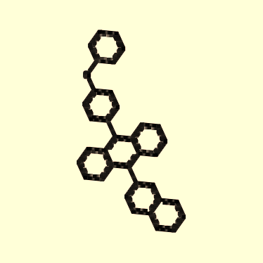 c1ccc(Oc2ccc(-c3c4ccccc4c(-c4ccc5ccccc5c4)c4ccccc34)cc2)cc1